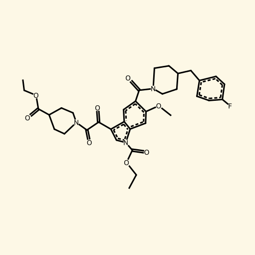 CCOC(=O)C1CCN(C(=O)C(=O)c2cn(C(=O)OCC)c3cc(OC)c(C(=O)N4CCC(Cc5ccc(F)cc5)CC4)cc23)CC1